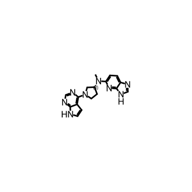 CN(c1ccc2nc[nH]c2n1)[C@@H]1CCN(c2ncnc3[nH]ccc23)C1